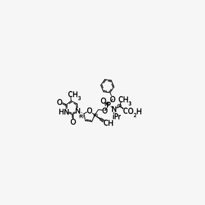 C#C[C@@]1(CO[P@@](=O)(Oc2ccccc2)N(C(C)C)[C@@H](C)C(=O)O)C=C[C@H](n2cc(C)c(=O)[nH]c2=O)O1